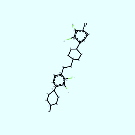 CCc1ccc(C2CCC(CCc3ccc(C4CCC(C)CC4)c(F)c3F)CC2)c(F)c1F